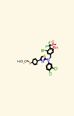 CP(=O)(O)C(F)(F)c1ccc(CN(c2ccc(Cl)c(Cl)c2)c2nc(-c3ccc(SCC(=O)O)cc3)cs2)cc1Br